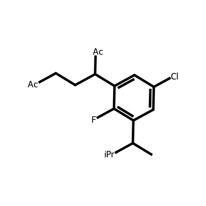 CC(=O)CCC(C(C)=O)c1cc(Cl)cc(C(C)C(C)C)c1F